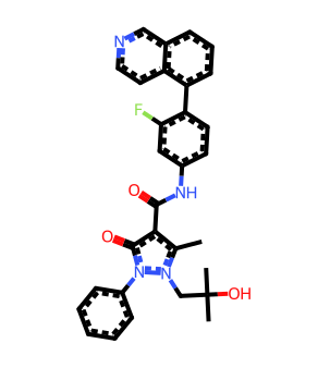 Cc1c(C(=O)Nc2ccc(-c3cccc4cnccc34)c(F)c2)c(=O)n(-c2ccccc2)n1CC(C)(C)O